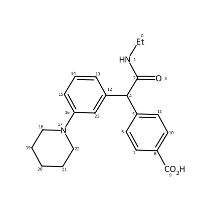 CCNC(=O)C(c1ccc(C(=O)O)cc1)c1cccc(N2CCCCC2)c1